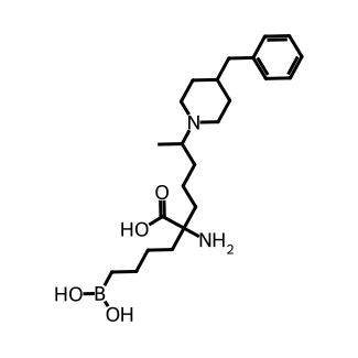 CC(CCCC(N)(CCCCB(O)O)C(=O)O)N1CCC(Cc2ccccc2)CC1